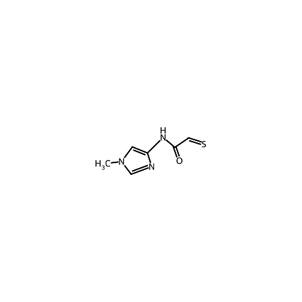 Cn1cnc(NC(=O)C=S)c1